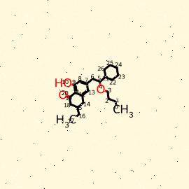 CCCCOC(Cc1cc(O)c2c(c1)CC(CC)CC2=O)C1CCCCC1